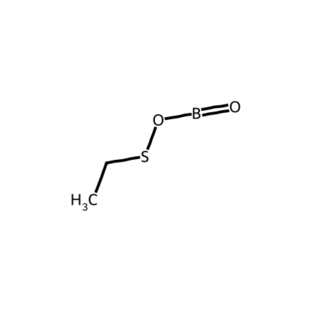 CCSOB=O